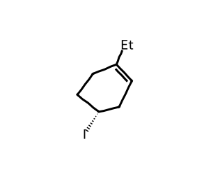 CCC1=CC[C@H](I)CC1